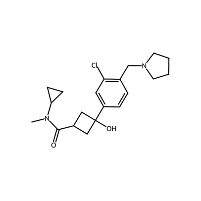 CN(C(=O)C1CC(O)(c2ccc(CN3CCCC3)c(Cl)c2)C1)C1CC1